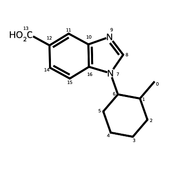 CC1CCCCC1n1cnc2cc(C(=O)O)ccc21